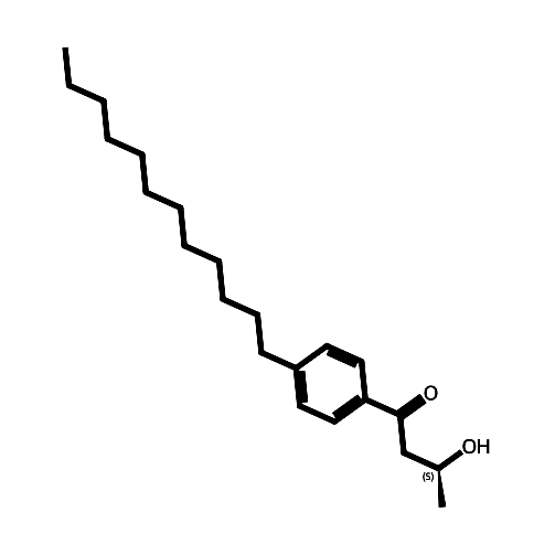 CCCCCCCCCCCCc1ccc(C(=O)C[C@H](C)O)cc1